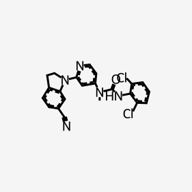 CN(C(=O)Nc1c(Cl)cccc1Cl)c1ccnc(N2CCc3ccc(C#N)cc32)c1